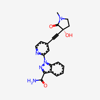 CN1CC[C@@](O)(C#Cc2ccnc(-n3nc(C(N)=O)c4ccccc43)c2)C1=O